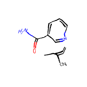 C=C(C)C#N.NC(=O)c1cccnc1